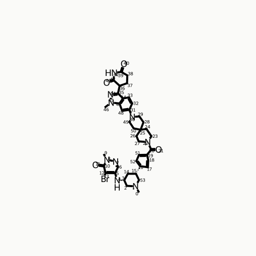 CN1C[C@H](Nc2cnn(C)c(=O)c2Br)C[C@H](c2ccc(C(=O)N3CCC4(CC3)CCN(c3ccc5c(C6CCC(=O)NC6=O)nn(C)c5c3)CC4)cc2)C1